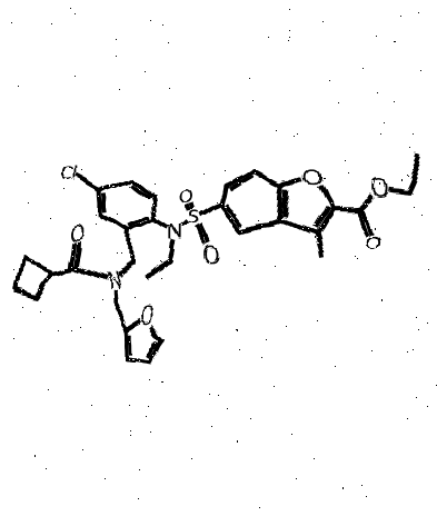 CCOC(=O)c1oc2ccc(S(=O)(=O)N(CC)c3ccc(Cl)cc3CN(Cc3ccco3)C(=O)C3CCC3)cc2c1C